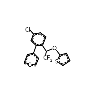 FC(F)(F)C(Oc1cccs1)c1ccc(Cl)cc1-c1ccccc1